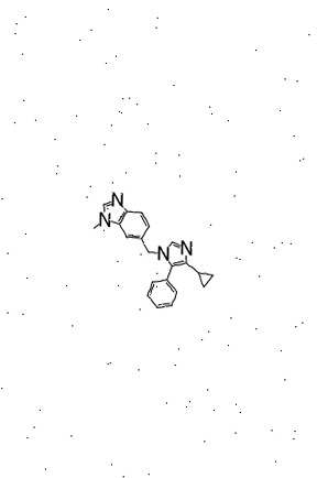 Cn1cnc2ccc(Cn3cnc(C4CC4)c3-c3ccccc3)cc21